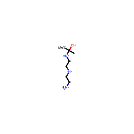 CNC(C)(O)NCCNCCN